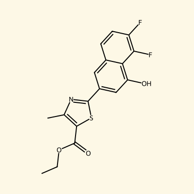 CCOC(=O)c1sc(-c2cc(O)c3c(F)c(F)ccc3c2)nc1C